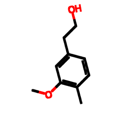 COc1cc(CCO)ccc1C